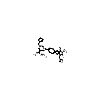 CCS/C(N)=C1\CN(CC2CCCC2)CN(C2CCC3(CC2)CC2(C3)C(=O)N(C)C(=O)N2CC2COC2)C1